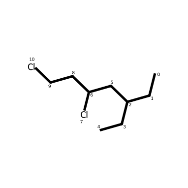 CCC(CC)CC(Cl)CCCl